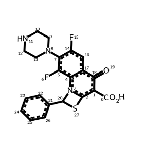 O=C(O)c1c2n(c3c(F)c(N4CCNCC4)c(F)cc3c1=O)C(c1ccccc1)S2